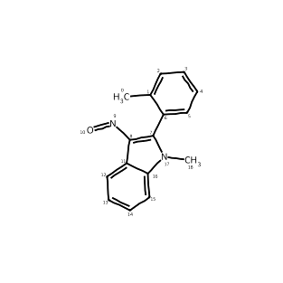 Cc1ccccc1-c1c(N=O)c2ccccc2n1C